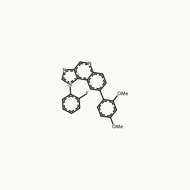 COc1ccc(-c2ccc3ncc4ncn(-c5ccccc5F)c4c3c2)c(OC)c1